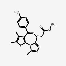 Bc1ccc(C2=N[C@H](CC(=O)OC(C)(C)C)c3nnc(C)n3-c3sc(C)c(C)c32)cc1